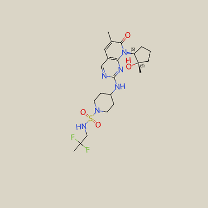 Cc1cc2cnc(NC3CCN(S(=O)(=O)NCC(C)(F)F)CC3)nc2n([C@H]2CCC[C@]2(C)O)c1=O